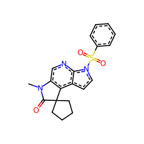 CN1C(=O)C2(CCCC2)c2c1cnc1c2ccn1S(=O)(=O)c1ccccc1